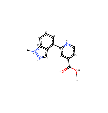 Cn1ncc2c(-c3cc(C(=O)OC(C)(C)C)ccn3)cccc21